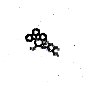 CC1CC(C)(N/C(N)=N/C(N)N)c2ccccc2[PH](c2ccccc2)(c2ccccc2)C1